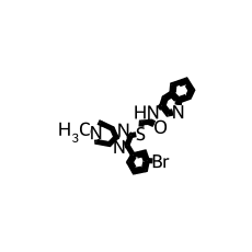 CN1CCC2(CC1)N=C(SCC(=O)Nc1cnc3ccccc3c1)C(c1cccc(Br)c1)=N2